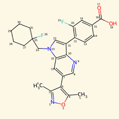 Cc1noc(C)c1-c1cnc2c(-c3ccc(C(=O)O)cc3F)cn(CC3(F)CCCCC3)c2c1